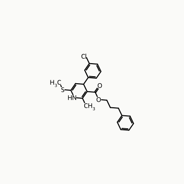 CSC1=CC(c2cccc(Cl)c2)C(C(=O)OCCCc2ccccc2)=C(C)N1